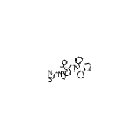 CC(=O)SC1CCN(C(c2ccccc2)(c2ccccc2)c2ccccc2)C/C1=C/c1ccn(Cc2cscn2)n1